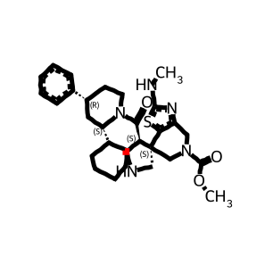 CNc1nc2c(s1)[C@@]1(CNC[C@H]1C(=O)N1CC[C@@H](c3ccccc3)C[C@H]1C1CCCCC1)CN(C(=O)OC)C2